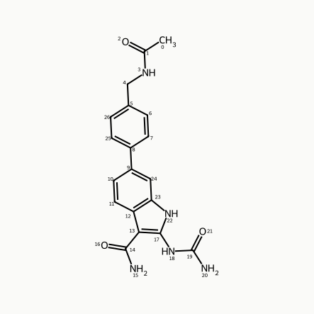 CC(=O)NCc1ccc(-c2ccc3c(C(N)=O)c(NC(N)=O)[nH]c3c2)cc1